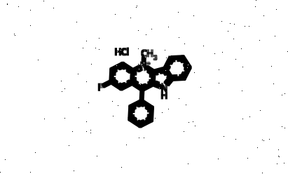 C[n+]1c2ccc(F)cc2c(-c2ccccc2)c2[nH]c3ccccc3c21.Cl